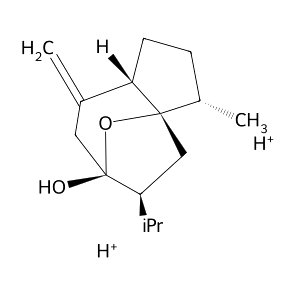 C=C1C[C@]2(O)O[C@@]3(C[C@H]2C(C)C)[C@@H](C)CC[C@@H]13.[H+].[H+]